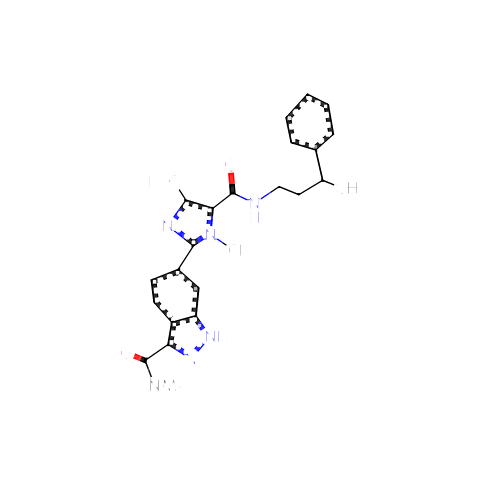 CNC(=O)c1n[nH]c2cc(-c3nc(C)c(C(=O)NCCC(C)c4ccccc4)n3C)ccc12